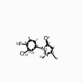 Cc1cc(=O)n(-c2ccc(F)c(Cl)c2)n1C